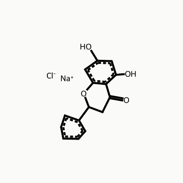 O=C1CC(c2ccccc2)Oc2cc(O)cc(O)c21.[Cl-].[Na+]